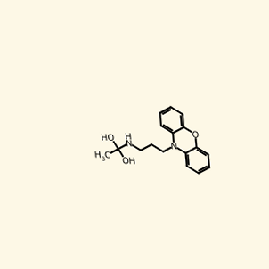 CC(O)(O)NCCCN1c2ccccc2Oc2ccccc21